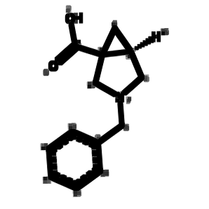 O=C(O)C12C[C@H]1CN(Cc1ccccc1)C2